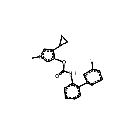 Cn1cc(OC(=O)Nc2ccccc2-c2cccc(Cl)c2)c(C2CC2)c1